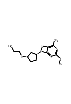 CCCSc1nc(N)c2[nH]n([C@H]3CC[C@@H](OCCO)C3)c2n1